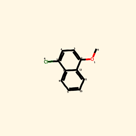 [CH2]Oc1ccc(Cl)c2ccccc12